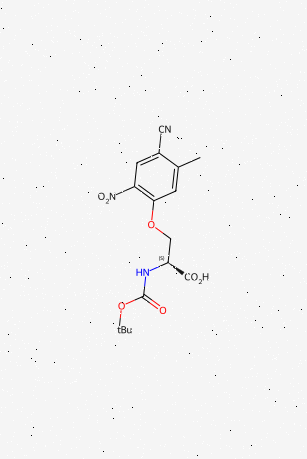 Cc1cc(OC[C@H](NC(=O)OC(C)(C)C)C(=O)O)c([N+](=O)[O-])cc1C#N